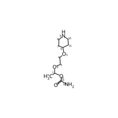 CC(OCCOC1CCNCC1)OC(N)=O